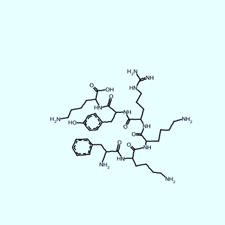 N=C(N)NCCCC(NC(=O)C(CCCCN)NC(=O)C(CCCCN)NC(=O)C(N)Cc1ccccc1)C(=O)NC(Cc1ccc(O)cc1)C(=O)NC(CCCCN)C(=O)O